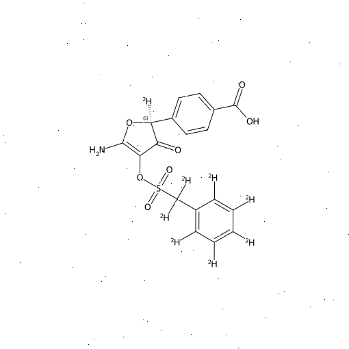 [2H]c1c([2H])c([2H])c(C([2H])([2H])S(=O)(=O)OC2=C(N)O[C@@]([2H])(c3ccc(C(=O)O)cc3)C2=O)c([2H])c1[2H]